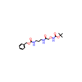 CC(C)(C)OC(=O)NOCC(=O)NCCCNC(=O)OCc1ccccc1